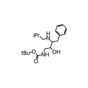 CC(C)CNC(Cc1ccccc1)C(O)CNC(=O)OC(C)(C)C